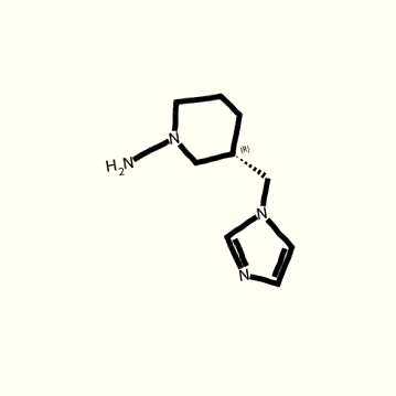 NN1CCC[C@H](Cn2ccnc2)C1